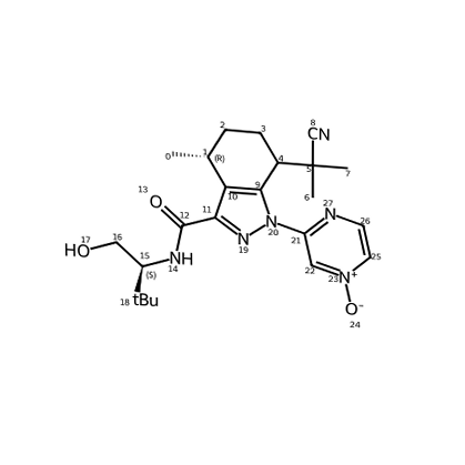 C[C@@H]1CCC(C(C)(C)C#N)c2c1c(C(=O)N[C@H](CO)C(C)(C)C)nn2-c1c[n+]([O-])ccn1